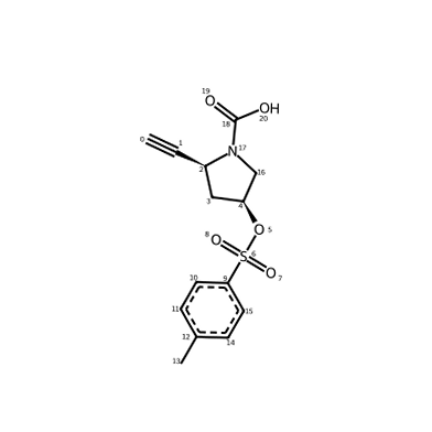 C#C[C@@H]1C[C@H](OS(=O)(=O)c2ccc(C)cc2)CN1C(=O)O